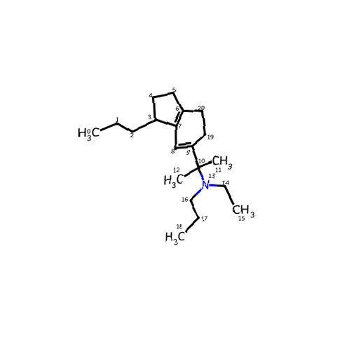 CCCC1CCC2=C1C=C(C(C)(C)N(CC)CCC)CC2